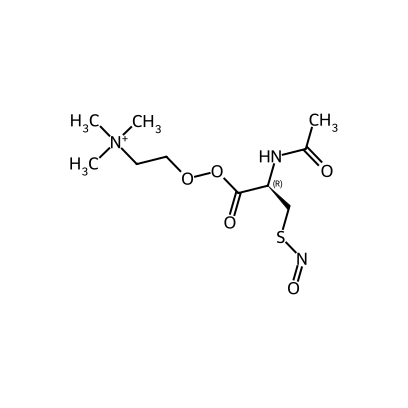 CC(=O)N[C@@H](CSN=O)C(=O)OOCC[N+](C)(C)C